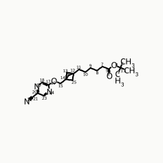 CC(C)(C)OC(=O)CCCCCC12CC(COc3cnc(C#N)cn3)(C1)C2